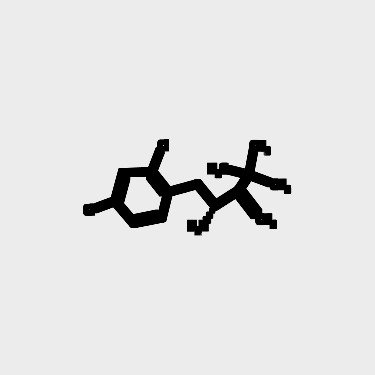 C=C([C@H](N)Cc1ccc(Cl)cc1Cl)C(C)(C)C